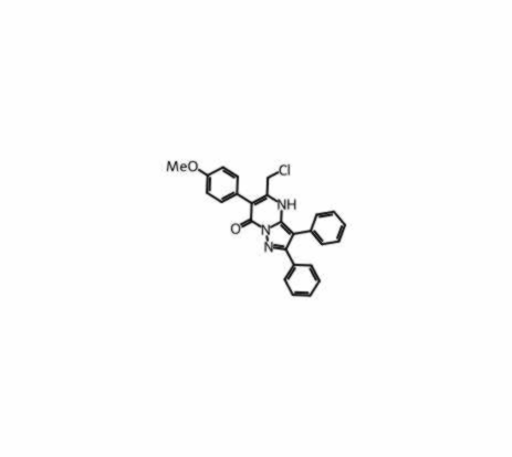 COc1ccc(-c2c(CCl)[nH]c3c(-c4ccccc4)c(-c4ccccc4)nn3c2=O)cc1